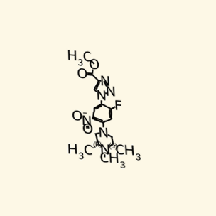 COC(=O)c1cn(-c2cc([N+](=O)[O-])c(N3C[C@@H](C)N(C)[C@@H](C)C3)cc2F)nn1